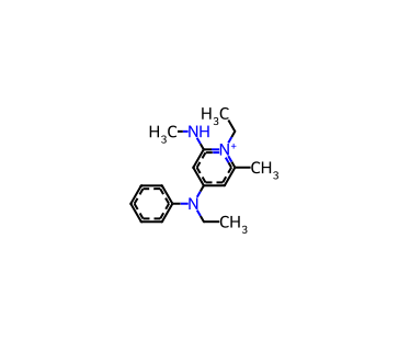 CCN(c1ccccc1)c1cc(C)[n+](CC)c(NC)c1